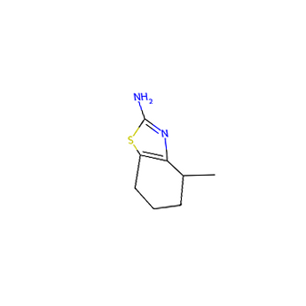 CC1CCCc2sc(N)nc21